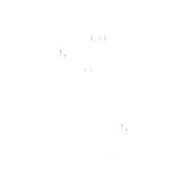 CCC(C)c1n[c]c(-c2cccc(-c3nccs3)c2)o1